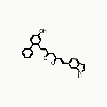 O=C(C=Cc1ccc2cc[nH]c2c1)CC(=O)C=Cc1cc(O)ccc1-c1ccccc1